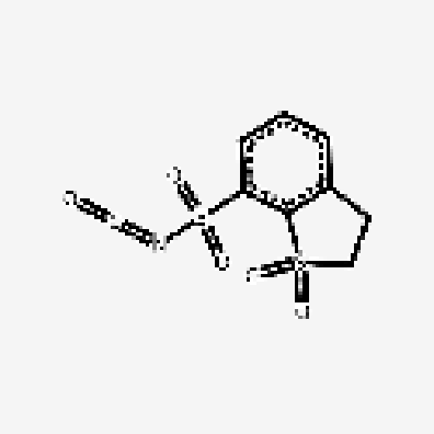 O=C=NS(=O)(=O)c1cccc2c1S(=O)(=O)CC2